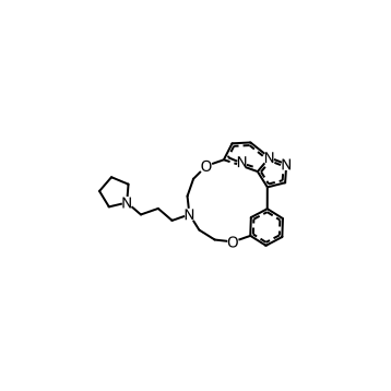 c1cc2cc(c1)-c1cnn3ccc(nc13)OCCN(CCCN1CCCC1)CCO2